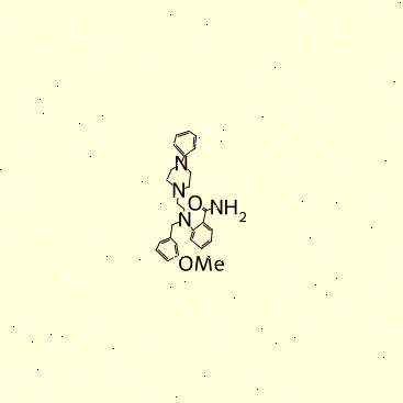 COc1cccc(CN(CCN2CCN(c3ccccc3)CC2)c2ccccc2C(N)=O)c1